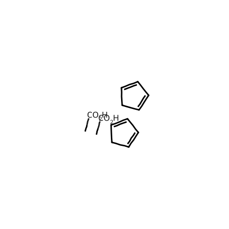 C1=CCC=C1.C1=CCC=C1.CC(=O)O.CC(=O)O